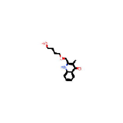 Cc1c(COCCCCO)[nH]c2ccccc2c1=O